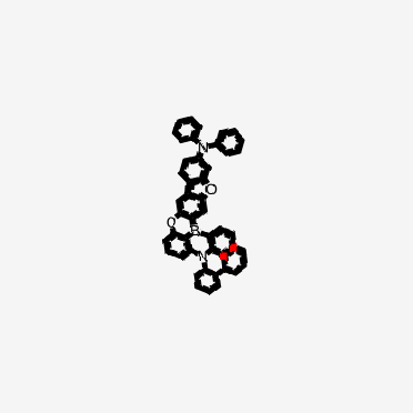 c1ccc(-c2ccccc2N2c3ccccc3B3c4cc5oc6cc(N(c7ccccc7)c7ccccc7)ccc6c5cc4Oc4cccc2c43)cc1